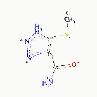 [CH2]Sc1[nH]nnc1C(N)=O